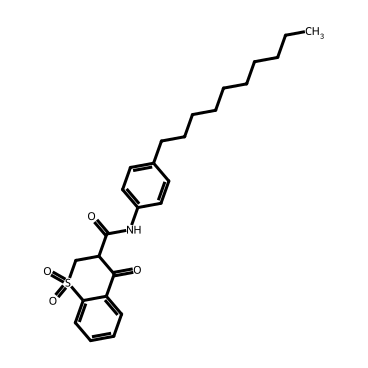 CCCCCCCCCCc1ccc(NC(=O)C2CS(=O)(=O)c3ccccc3C2=O)cc1